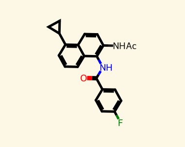 CC(=O)Nc1ccc2c(C3CC3)cccc2c1NC(=O)c1ccc(F)cc1